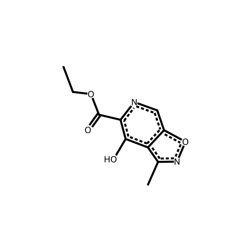 CCOC(=O)c1ncc2onc(C)c2c1O